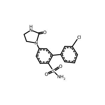 NS(=O)(=O)c1ccc(N2CCNC2=O)cc1-c1cccc(Cl)c1